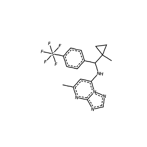 Cc1cc(NC(c2ccc(S(F)(F)(F)(F)F)cc2)C2(C)CC2)n2ncnc2n1